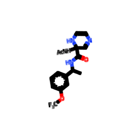 CC(=O)NC1(C(=O)NC(C)c2cccc(OC(F)(F)F)c2)C=NC=CN1